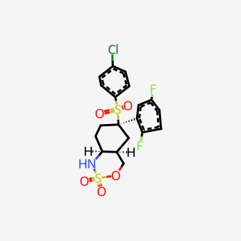 O=S1(=O)N[C@H]2CC[C@@](c3cc(F)ccc3F)(S(=O)(=O)c3ccc(Cl)cc3)C[C@H]2CO1